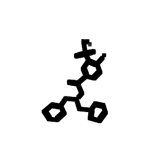 NS(=O)(=O)c1cc(C(=O)CN(Cc2ccccc2)Cc2ccccc2)ccc1F